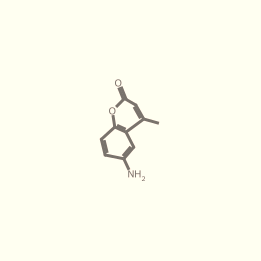 Cc1cc(=O)oc2ccc(N)cc12